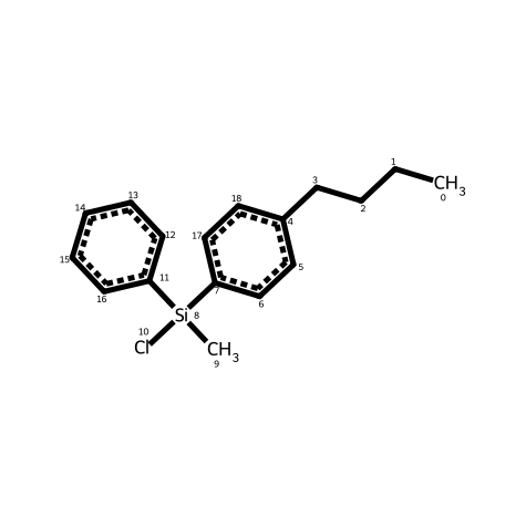 CCCCc1ccc([Si](C)(Cl)c2ccccc2)cc1